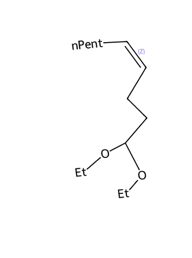 CCCCC/C=C\CCC(OCC)OCC